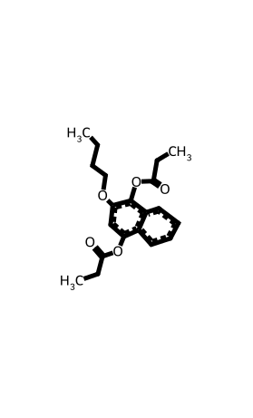 CCCCOc1cc(OC(=O)CC)c2ccccc2c1OC(=O)CC